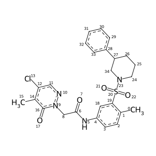 Cc1ccc(NC(=O)Cn2ncc(Cl)c(C)c2=O)cc1S(=O)(=O)N1CCCC(c2ccccc2)C1